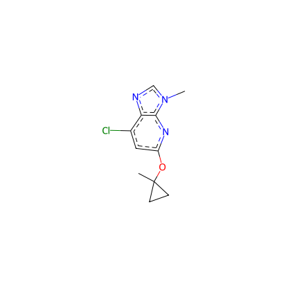 Cn1cnc2c(Cl)cc(OC3(C)CC3)nc21